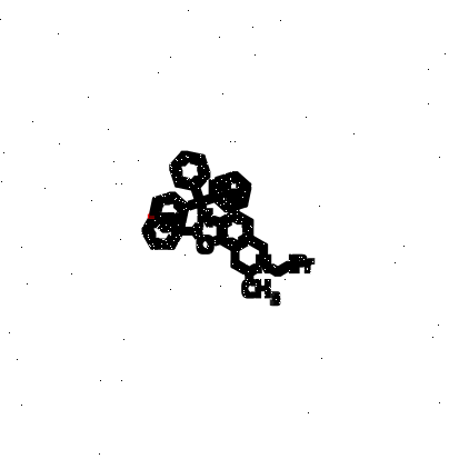 CCOc1cc2c(c3c1N(C(c1ccccc1)(c1ccccc1)c1ccccc1)C(c1ccccc1)O3)CC(C)N(CC(C)C)C2